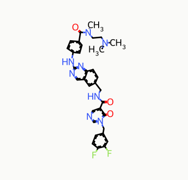 CN(C)CCN(C)C(=O)c1ccc(Nc2ncc3cc(CNC(=O)c4cncn(Cc5ccc(F)c(F)c5)c4=O)ccc3n2)cc1